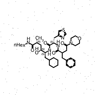 CCCCCCNC(=O)[C@H](C)C[C@H](O)[C@H](CC1CCCCC1)NC(=O)[C@H](Cc1cscn1)NC(=O)C(CC(=O)N1CCOCC1)Cc1ccccc1